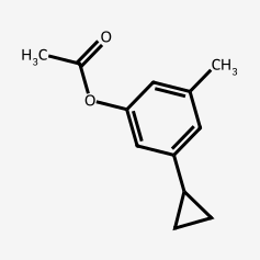 CC(=O)Oc1cc(C)cc(C2CC2)c1